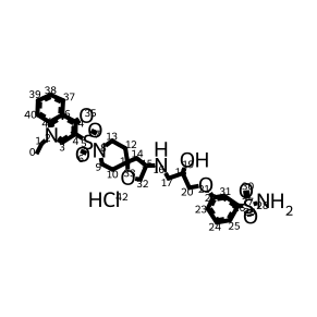 CCn1cc(S(=O)(=O)N2CCC3(CC2)CC(NCC(O)COc2cccc(S(N)(=O)=O)c2)CO3)c(=O)c2ccccc21.Cl